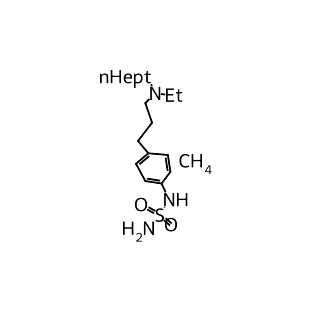 C.CCCCCCCN(CC)CCCc1ccc(NS(N)(=O)=O)cc1